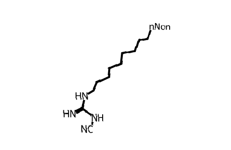 CCCCCCCCCCCCCCCCCCNC(=N)NC#N